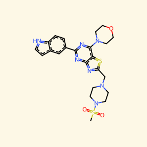 CS(=O)(=O)N1CCN(Cc2nc3nc(-c4ccc5[nH]ccc5c4)nc(N4CCOCC4)c3s2)CC1